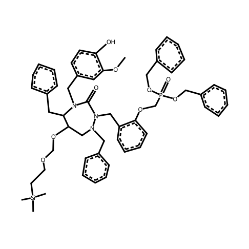 COc1cc(CN2C(=O)N(Cc3ccccc3OCP(=O)(OCc3ccccc3)OCc3ccccc3)N(Cc3ccccc3)CC(OCOCC[Si](C)(C)C)C2Cc2ccccc2)ccc1O